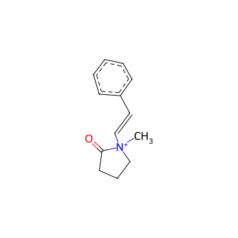 C[N+]1(C=Cc2ccccc2)CCCC1=O